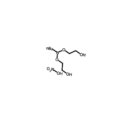 CCCCN(OCCO)OCCO.O=[N+]([O-])O